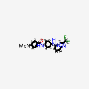 CNc1ccc(C(=O)N[C@H]2CC[C@@H](Nc3cccc4nc(C(F)F)cn34)CC2)cc1